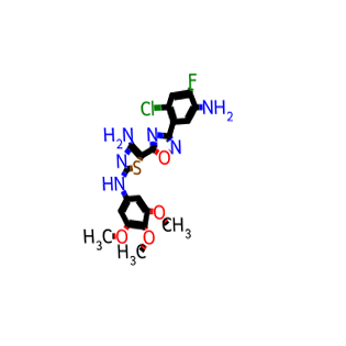 COc1cc(Nc2nc(N)c(-c3nc(-c4cc(N)c(F)cc4Cl)no3)s2)cc(OC)c1OC